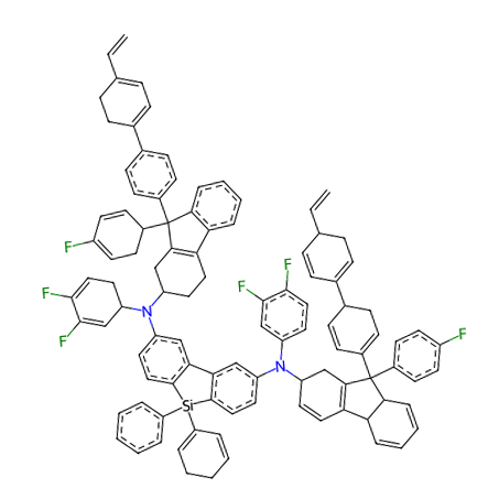 C=CC1=CC=C(c2ccc(C3(C4C=CC(F)=CC4)C4=C(CCC(N(c5ccc6c(c5)-c5cc(N(c7ccc(F)c(F)c7)C7C=CC8=C(C7)C(C7=CCC(C9=CCC(C=C)C=C9)C=C7)(c7ccc(F)cc7)C7C=CC=CC87)ccc5[Si]6(C5=CCCC=C5)c5ccccc5)C5C=C(F)C(F)=CC5)C4)c4ccccc43)cc2)CC1